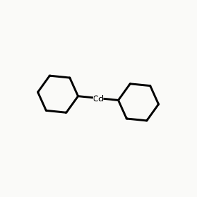 C1CC[CH]([Cd][CH]2CCCCC2)CC1